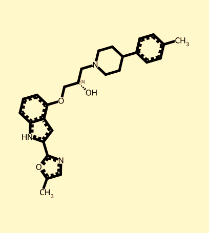 Cc1ccc(C2CCN(C[C@H](O)COc3cccc4[nH]c(-c5ncc(C)o5)cc34)CC2)cc1